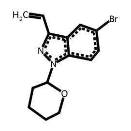 C=Cc1nn(C2CCCCO2)c2ccc(Br)cc12